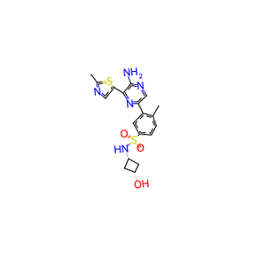 Cc1ncc(-c2nc(-c3cc(S(=O)(=O)N[C@H]4C[C@@H](O)C4)ccc3C)cnc2N)s1